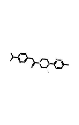 Cc1ccc(N2CCN(C(=O)Cc3ccc(C(C)C)nc3)C[C@H]2C)nn1